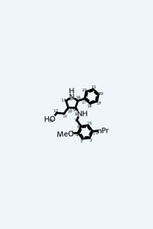 CCCc1ccc(OC)c(CNC2C(CCO)CNC2c2ccccc2)c1